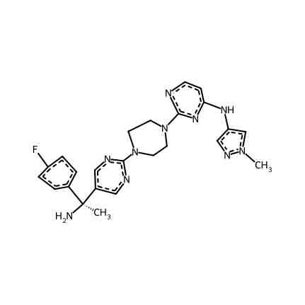 Cn1cc(Nc2ccnc(N3CCN(c4ncc([C@@](C)(N)c5ccc(F)cc5)cn4)CC3)n2)cn1